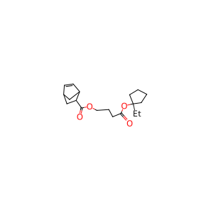 CCC1(OC(=O)CCCOC(=O)C2CC3C=CC2C3)CCCC1